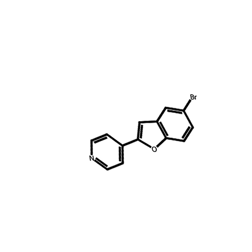 Brc1ccc2oc(-c3ccncc3)cc2c1